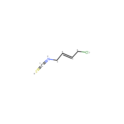 S=C=NCC=CCCl